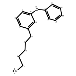 NCCCC[CH]c1cccc(Oc2ccccc2)c1